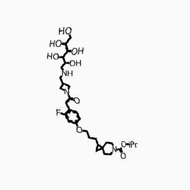 CC(C)OC(=O)N1CCC2(CC1)CC2CCCOc1ccc(CC(=O)N2CC(CNCC(O)C(O)C(O)C(O)CO)C2)c(F)c1